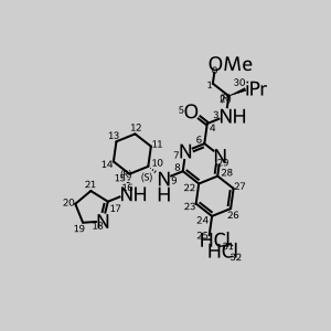 COC[C@H](NC(=O)c1nc(N[C@H]2CCCC[C@H]2NC2=NCCC2)c2cc(C)ccc2n1)C(C)C.Cl.Cl